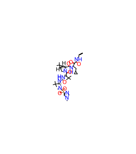 C=CCNC(=O)C(=O)C(CC1CC1)NC(=O)[C@@H]1[C@@H]2[C@H](CN1C(=O)[C@@H](NC(=O)N[C@H](CN(C)S(=O)(=O)c1cn(C)cn1)C(C)(C)C)C(C)(C)C)C2(C)C